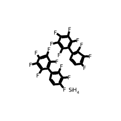 Fc1ccc(-c2c(F)c(F)c(F)c(F)c2F)c(F)c1F.Fc1ccc(-c2c(F)c(F)c(F)c(F)c2F)c(F)c1F.[SiH4]